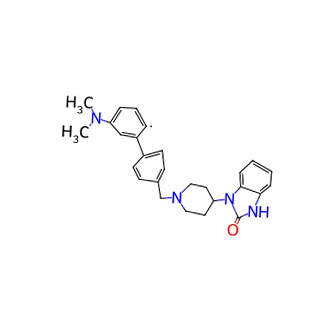 CN(C)c1cc[c]c(-c2ccc(CN3CCC(n4c(=O)[nH]c5ccccc54)CC3)cc2)c1